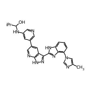 Cc1cn(-c2cccc3[nH]c(-c4n[nH]c5ncc(-c6cncc(NC(O)C(C)C)c6)cc45)nc23)cn1